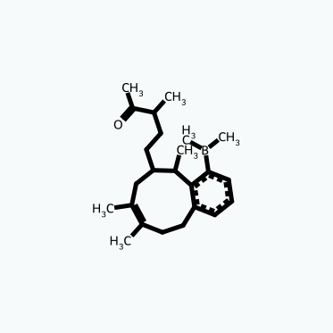 CB(C)c1cccc2c1C(C)C(CCC(C)C(C)=O)C/C(C)=C(/C)CC2